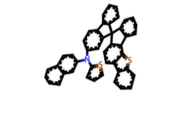 c1csc(N(c2ccc3c(c2)C2(c4ccccc4-3)c3ccccc3-c3c2ccc2c3sc3ccccc32)c2ccc3ccccc3c2)c1